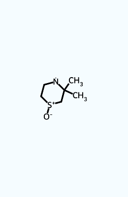 CC1(C)C[S+]([O-])CC[N]1